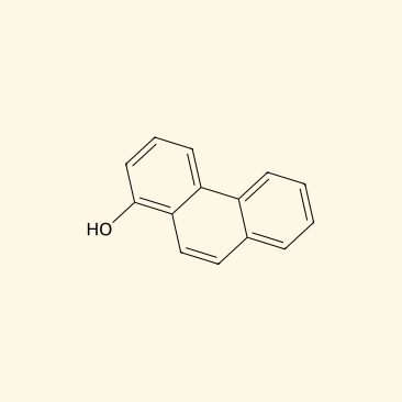 Oc1cccc2c1ccc1ccccc12